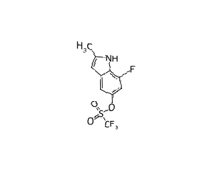 Cc1cc2cc(OS(=O)(=O)C(F)(F)F)cc(F)c2[nH]1